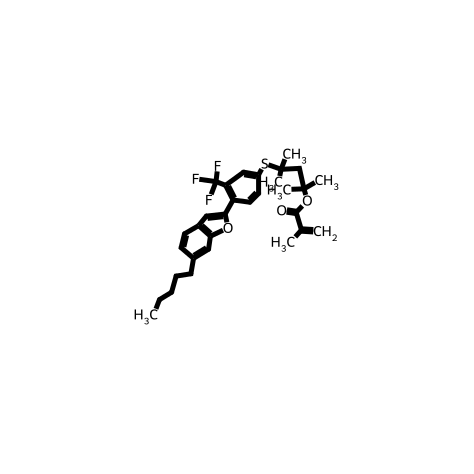 C=C(C)C(=O)OC(C)(C)CC(C)(C)Sc1ccc(-c2cc3ccc(CCCCC)cc3o2)c(C(F)(F)F)c1